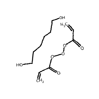 C=CC(=O)OOOC(=O)C=C.OCCCCCCO